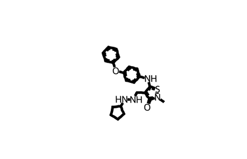 Cn1sc(Nc2ccc(Oc3ccccc3)cc2)c(CNNC2CCCC2)c1=O